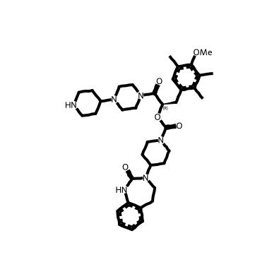 COc1c(C)cc(C[C@@H](OC(=O)N2CCC(N3CCc4ccccc4NC3=O)CC2)C(=O)N2CCN(C3CCNCC3)CC2)c(C)c1C